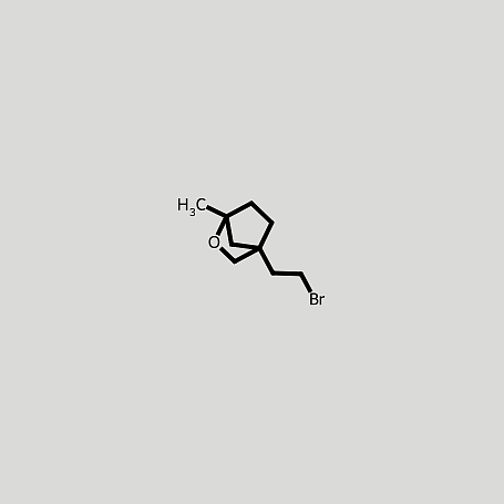 CC12CCC(CCBr)(CO1)C2